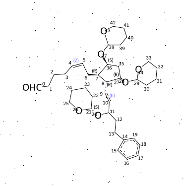 O=CCCC/C=C\C[C@@H]1[C@@H](/C=C/C(CCc2ccccc2)O[C@H]2CCCCO2)[C@H](OC2CCCCO2)C[C@@H]1OC1CCCCO1